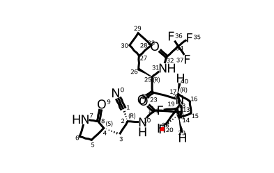 N#C[C@@H](C[C@@H]1CCNC1=O)NC(=O)[C@@H]1[C@H]2CC[C@H](CC2(F)F)N1C(=O)[C@@H](CC1CCC1)NC(=O)C(F)(F)F